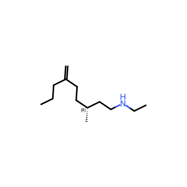 C=C(CCC)CC[C@@H](C)CCNCC